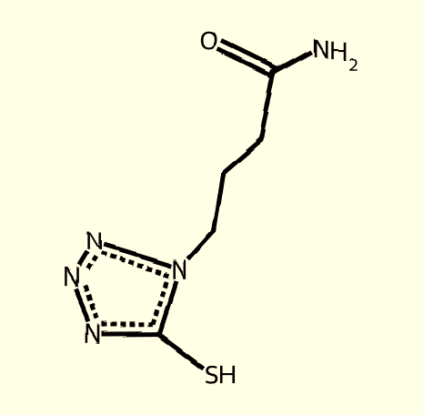 NC(=O)CCCn1nnnc1S